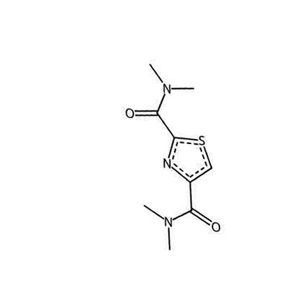 CN(C)C(=O)c1csc(C(=O)N(C)C)n1